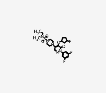 CCN(C)S(=O)(=O)N1CCN(c2cnn(-c3cc(F)cc(F)c3)c(=O)c2OC2CCC(F)C2)CC1